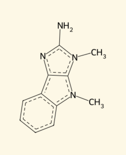 Cn1c(N)nc2c3ccccc3n(C)c21